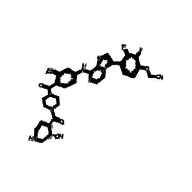 CCc1cc(Nc2nccn3c(-c4ccc(OCC#N)c(F)c4F)cnc23)ccc1C(=O)N1CCN(C(=O)[C@@H]2CCNC[C@H]2O)CC1